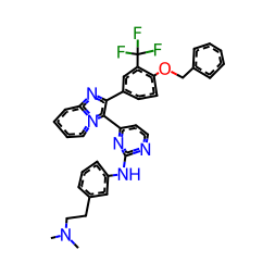 CN(C)CCc1cccc(Nc2nccc(-c3c(-c4ccc(OCc5ccccc5)c(C(F)(F)F)c4)nc4ccccn34)n2)c1